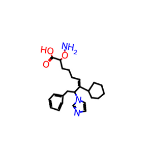 NOC(CCCC=C(C1CCCCC1)C(Cc1ccccc1)n1ccnc1)C(=O)O